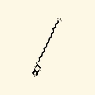 CCCCCCCCCCCCCCCCCCOC1COc2cscc2O1